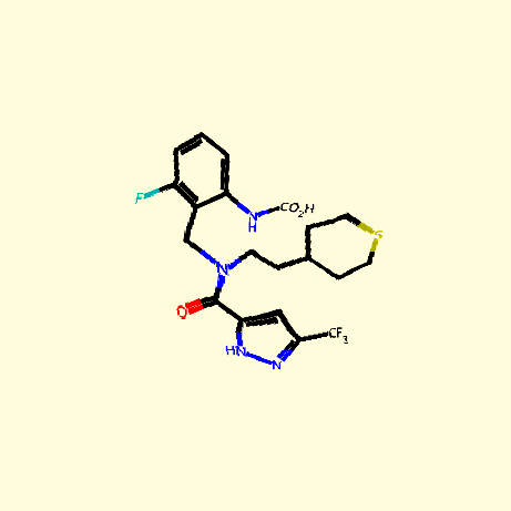 O=C(O)Nc1cccc(F)c1CN(CCC1CCSCC1)C(=O)c1cc(C(F)(F)F)n[nH]1